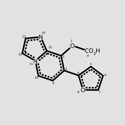 O=C(O)Oc1c(-c2ccco2)ccn2ccnc12